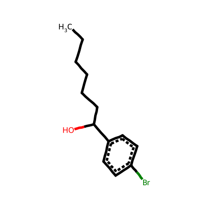 CCCCCCC(O)c1ccc(Br)cc1